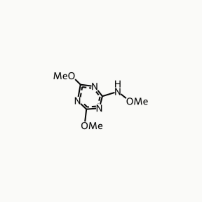 CONc1nc(OC)nc(OC)n1